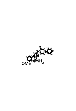 COc1cccc2c1nc(N)n1nc(CN3CCN(c4ccccc4)CC3C)nc21